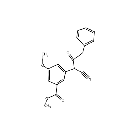 COC(=O)c1cc(OC)cc(C(C#N)C(=O)Cc2ccccc2)c1